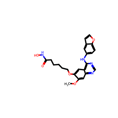 COc1cc2ncnc(Nc3ccc4occc4c3)c2cc1OCCCCCC(=O)NO